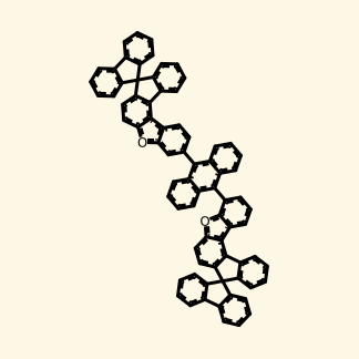 c1ccc2c(c1)-c1ccccc1C21c2ccccc2-c2c1ccc1oc3cc(-c4c5ccccc5c(-c5cccc6c5oc5ccc7c(c56)-c5ccccc5C75c6ccccc6-c6ccccc65)c5ccccc45)ccc3c21